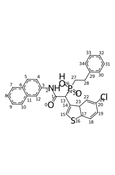 O=C(Nc1ccc2ccccc2c1)C(C1=CSC2C=CC(Cl)=CC12)P(=O)(O)CCc1ccccc1